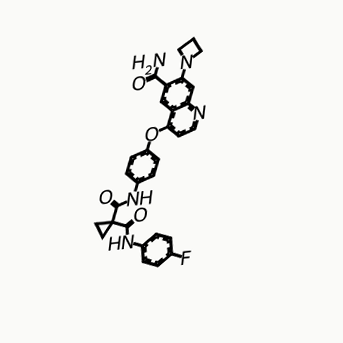 NC(=O)c1cc2c(Oc3ccc(NC(=O)C4(C(=O)Nc5ccc(F)cc5)CC4)cc3)ccnc2cc1N1CCC1